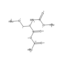 CCCCOCC(NC(=O)OCCCC)C(=O)OC(=O)CCCC